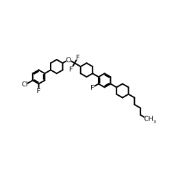 CCCCCC1CCC(c2ccc(C3CCC(C(F)(F)OC4CCC(c5ccc(Cl)c(F)c5)CC4)CC3)c(F)c2)CC1